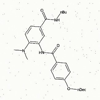 CCCCCCCCCCOc1ccc(C(=O)Nc2cc(C(=O)NCCCC)ccc2N(C)C)cc1